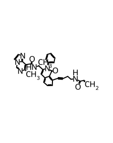 C=CC(=O)NCCC#Cc1cccc2cc(C(C)NC(=O)c3c(C)ncn4ccnc34)n(-c3ccccc3)c(=O)c12